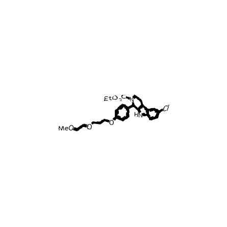 CCOC(=O)N1CCc2c([nH]c3ccc(Cl)cc23)C1c1ccc(OCCCOCCOC)cc1